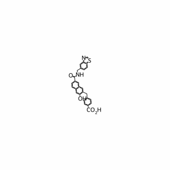 O=C(O)c1ccc(Cc2cc3cc(C(=O)NCc4ccc5scnc5c4)ccc3cc2O)cc1